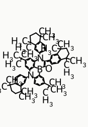 CC(C)(C)c1ccc2c(c1)B1c3oc4cc5c(cc4c3N(c3ccc4c(c3)C(C)(C)CCC4(C)C)c3cc(C(C)(C)C)cc(c31)N2c1ccc2c(c1)C(C)(C)CCC2(C)C)C(C)(C)CCC5(C)C